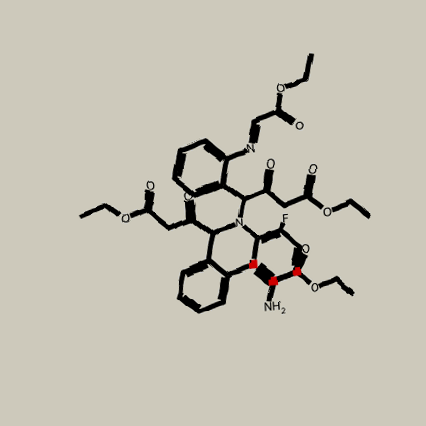 CCOC(=O)C=Nc1ccccc1C(C(=O)CC(=O)OCC)N(c1nc(N)ncc1F)C(C(=O)CC(=O)OCC)c1ccccc1N=CC(=O)OCC